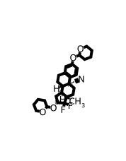 C[C@]12CC[C@]3(C#N)c4ccc(OC5CCCCO5)cc4CC[C@H]3[C@@H]1C[C@@H](OC1CCCCO1)C2(F)F